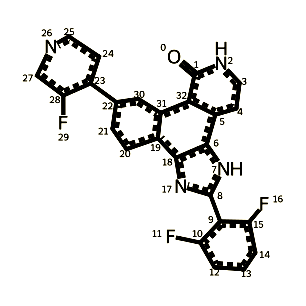 O=c1[nH]ccc2c3[nH]c(-c4c(F)cccc4F)nc3c3ccc(-c4ccncc4F)cc3c12